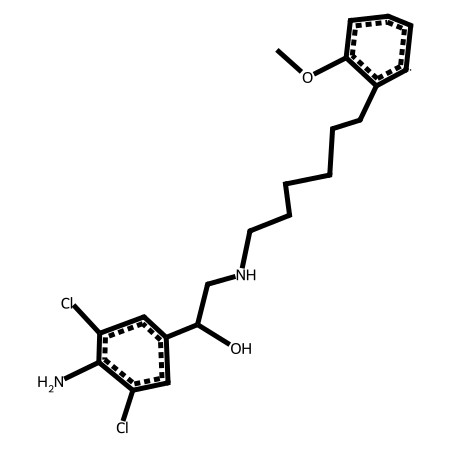 COc1ccc[c]c1CCCCCCNCC(O)c1cc(Cl)c(N)c(Cl)c1